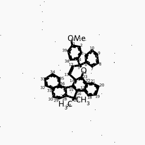 COc1ccc(C2(c3ccccc3)C=Cc3c4c(c5ccccc5c3O2)C(C)(C)c2ccc3ccccc3c2-4)cc1